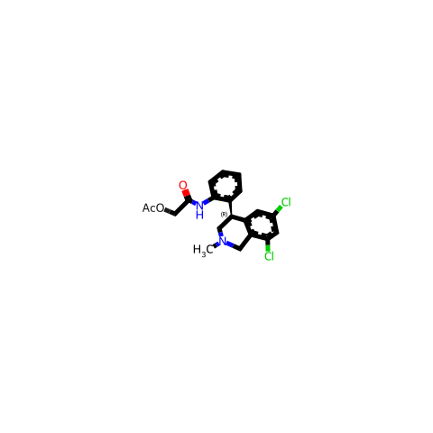 CC(=O)OCC(=O)Nc1ccccc1[C@@H]1CN(C)Cc2c(Cl)cc(Cl)cc21